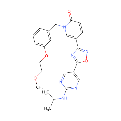 COCCOc1cccc(Cn2cc(-c3noc(-c4cnc(NC(C)C)nc4)n3)ccc2=O)c1